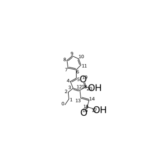 CCCC(C=Cc1ccccc1)=C(C=CC(=O)O)C(=O)O